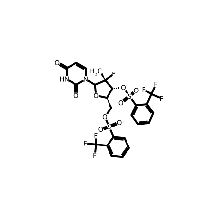 C[C@]1(F)C(n2ccc(=O)[nH]c2=O)O[C@H](COS(=O)(=O)c2ccccc2C(F)(F)F)[C@H]1OS(=O)(=O)c1ccccc1C(F)(F)F